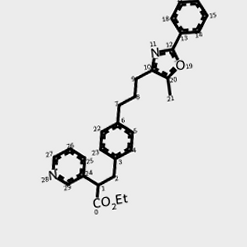 CCOC(=O)C(Cc1ccc(CCCc2nc(-c3ccccc3)oc2C)cc1)c1cccnc1